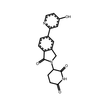 O=C1CCC(N2Cc3cc(-c4cc(O)ccn4)ccc3C2=O)C(=O)N1